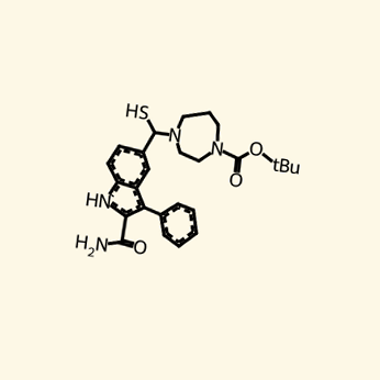 CC(C)(C)OC(=O)N1CCCN(C(S)c2ccc3[nH]c(C(N)=O)c(-c4ccccc4)c3c2)CC1